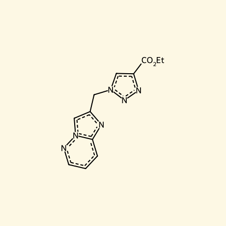 CCOC(=O)c1cn(Cc2cn3ncccc3n2)nn1